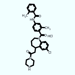 Cc1ccccc1C(=O)Nc1ccc(C(=O)N2CCCC(CC(=O)N3CCNCC3)c3cc(Cl)ccc32)c(C)c1.Cl